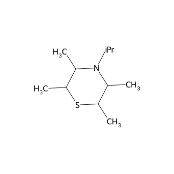 CC1SC(C)C(C)N(C(C)C)C1C